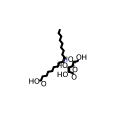 CCCCCCCC/C=C\CCCCCCCC(=O)O.O=C1O[C@H]([C@@H](O)CO)C(O)=C1O